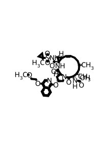 COCCOc1cnc(O[C@@H]2C[C@H]3C(=O)N[C@]4(C(=O)NS(=O)(=O)C5(C)CC5)C[C@H]4C=CCC[C@@H](C)C[C@@H](C)[C@H](NC(=O)O)C(=O)N3C2)c2ccccc12